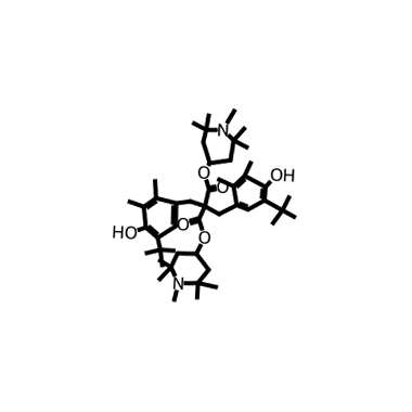 Cc1c(CC(Cc2cc(C(C)(C)C)c(O)c(C)c2C)(C(=O)OC2CC(C)(C)N(C)C(C)(C)C2)C(=O)OC2CC(C)(C)N(C)C(C)(C)C2)cc(C(C)(C)C)c(O)c1C